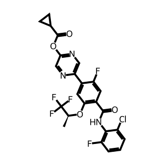 C[C@H](Oc1cc(-c2cnc(OC(=O)C3CC3)cn2)c(F)cc1C(=O)Nc1c(F)cccc1Cl)C(F)(F)F